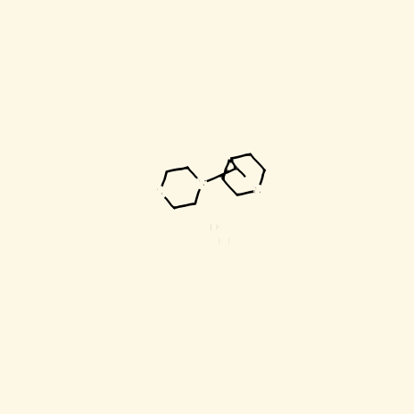 C1CN(C2CN3CCC2CC3)CCN1.Cl.Cl.Cl.O